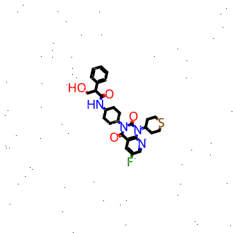 O=C(NC1CCC(n2c(=O)c3cc(F)cnc3n(C3CCSCC3)c2=O)CC1)C(CO)c1ccccc1